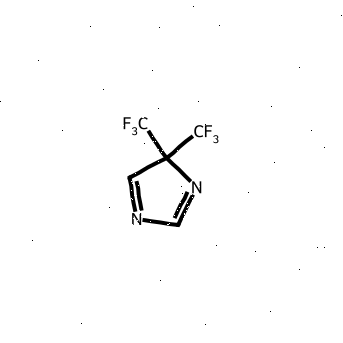 FC(F)(F)C1(C(F)(F)F)C=NC=N1